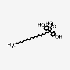 CCCCCCCCCCCCCCCCCCCC(CCC(=O)O)(c1ccc(O)cc1)c1ccc(O)cc1